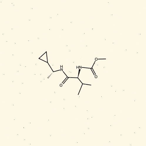 COC(=O)N[C@H](C(=O)N[C@H](C)C1CC1)C(C)C